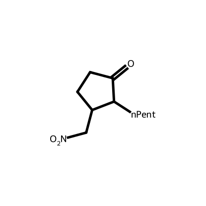 CCCCCC1C(=O)CCC1C[N+](=O)[O-]